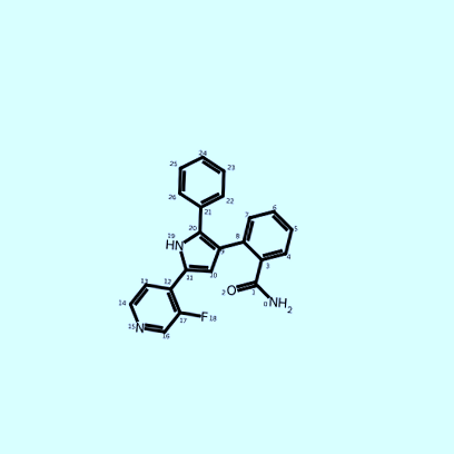 NC(=O)c1ccccc1-c1cc(-c2ccncc2F)[nH]c1-c1ccccc1